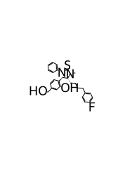 CN1C(=S)N(c2ccccc2)[C@H](c2ccc(CO)cc2O)[C@H]1CCCCc1ccc(F)cc1